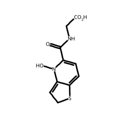 O=C(O)CNC(=O)C1=CC=C2SCC=C2N1O